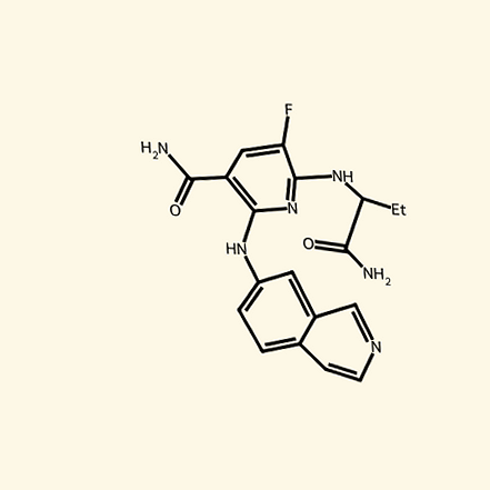 CCC(Nc1nc(Nc2ccc3ccncc3c2)c(C(N)=O)cc1F)C(N)=O